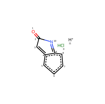 Cl.O=C1C=c2ccccc2=N1.[H+]